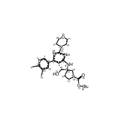 Cc1ncc(-c2cc(N[C@@]3(CO)CCN(C(=O)OC(C)(C)C)C3)nc(N3CCOCC3)n2)cc1F